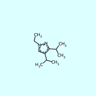 CCn1cc(C(C)C)c(C(C)C)n1